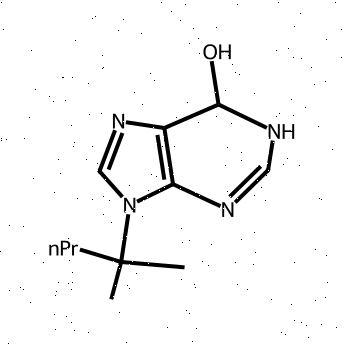 CCCC(C)(C)n1cnc2c1N=CNC2O